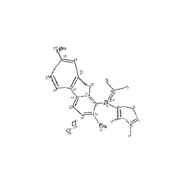 CC1=CC[C]([Zr+2](=[C](C)C)[c]2c(C(C)(C)C)ccc3c2Cc2cc(C(C)(C)C)ccc2-3)=C1.[Cl-].[Cl-]